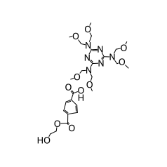 COCN(COC)c1nc(N(COC)COC)nc(N(COC)COC)n1.O=C(O)c1ccc(C(=O)OCCO)cc1